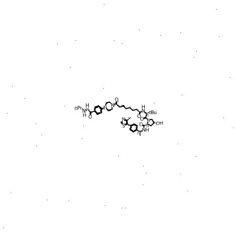 CCCNNC(=O)c1ccc(N2CCN(C(=O)CCCCCCC(=O)N[C@H](C(=O)N3C[C@H](O)C[C@H]3C(=O)N[C@@H](C)c3ccc(-c4scnc4C)cc3)C(C)(C)C)CC2)cc1